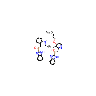 CC(C)CN(C)c1ccccc1C[S+]([O-])c1nc2ccccc2[nH]1.COCCCOc1ccnc(C[S+]([O-])c2nc3ccccc3[nH]2)c1C